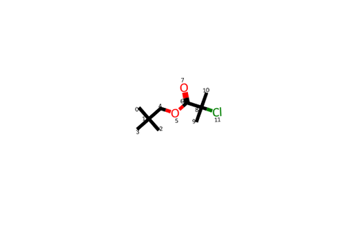 CC(C)(C)COC(=O)C(C)(C)Cl